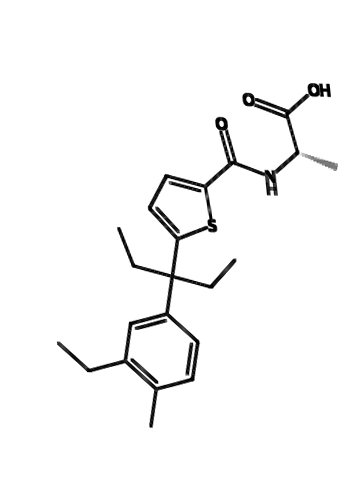 CCc1cc(C(CC)(CC)c2ccc(C(=O)N[C@@H](C)C(=O)O)s2)ccc1C